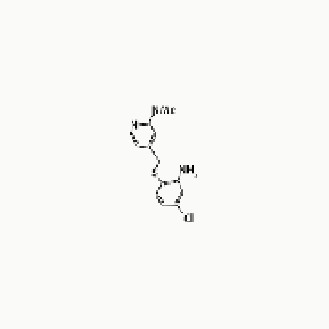 CNc1cc(CSc2ccc(Cl)cc2N)ccn1